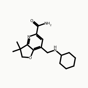 CC1(C)COc2c(CNC3CCCCC3)cc(C(N)=O)nc21